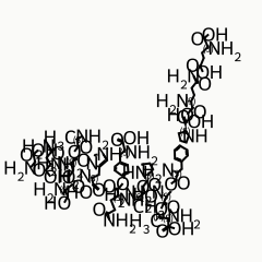 C[C@@H](OC(=O)[C@@H](N)COC(=O)[C@@H](N)Cc1ccccc1)[C@H](N)C(=O)O.C[C@H](N)C(=O)OC(=O)[C@@H](N)COC(=O)[C@@H](N)CO.C[C@H](N)C(=O)OC(=O)[C@@H]1CCCN1.NC(=O)CC[C@H](N)C(=O)O.NC(=O)CC[C@H](N)C(=O)Oc1ccc(C[C@H](N)C(=O)O)cc1.NC(=O)C[C@H](N)C(=O)O.NCC(=O)O.N[C@@H](CCC(=O)O)C(=O)O.N[C@@H](Cc1c[nH]cn1)C(=O)O.O=C(O)[C@@H]1CCCN1